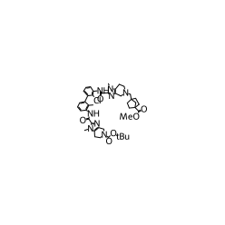 COC(=O)C12CCC(CN3CCc4c(nc(C(=O)Nc5cccc(-c6cccc(NC(=O)c7nc8c(n7C)CCN(C(=O)OC(C)(C)C)C8)c6C)c5Cl)n4C)C3)(CC1)C2